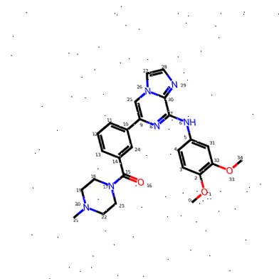 COc1ccc(Nc2nc(-c3cccc(C(=O)N4CCN(C)CC4)c3)cn3ccnc23)cc1OC